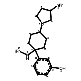 CCCC1CCN(C2CCC(NC(C)C)(c3cccc(O)c3)CC2)C1